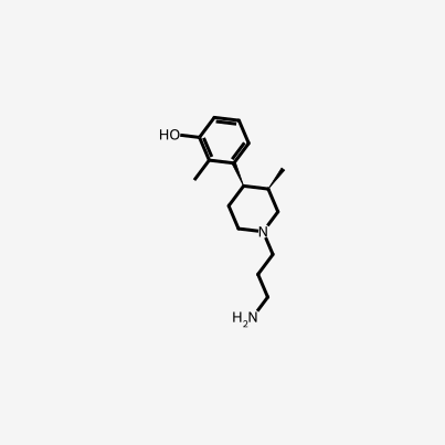 Cc1c(O)cccc1[C@@H]1CCN(CCCN)C[C@@H]1C